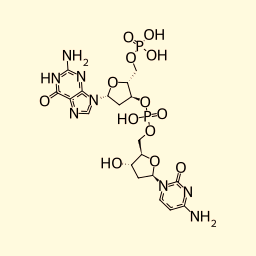 Nc1ccn([C@H]2C[C@H](O)[C@@H](COP(=O)(O)O[C@H]3C[C@H](n4cnc5c(=O)[nH]c(N)nc54)O[C@@H]3COP(=O)(O)O)O2)c(=O)n1